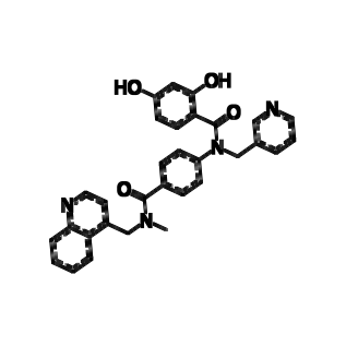 CN(Cc1ccnc2ccccc12)C(=O)c1ccc(N(Cc2cccnc2)C(=O)c2ccc(O)cc2O)cc1